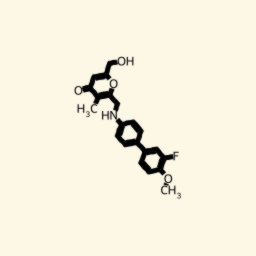 COc1ccc(-c2ccc(NCc3oc(CO)cc(=O)c3C)cc2)cc1F